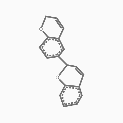 C1=Cc2cc(C3C=Cc4ccccc4O3)ccc2OC1